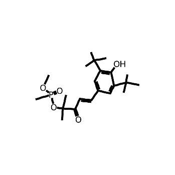 COP(C)(=O)OC(C)(C)C(=O)C=Cc1cc(C(C)(C)C)c(O)c(C(C)(C)C)c1